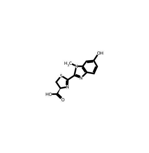 Cn1c(C2=N[C@@H](C(=O)O)CS2)nc2ccc(O)cc21